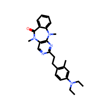 CCN(CC)c1ccc(CCc2ncc3c(n2)N(C)c2ccccc2C(=O)N3C)c(C)c1